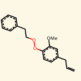 C=CCc1ccc(OOCCc2ccccc2)c(OC)c1